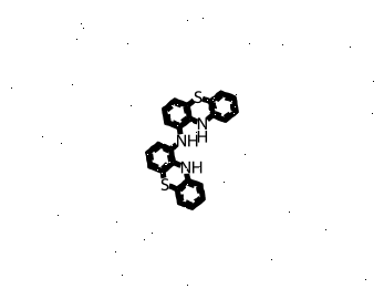 c1ccc2c(c1)Nc1c(Nc3cccc4c3Nc3ccccc3S4)cccc1S2